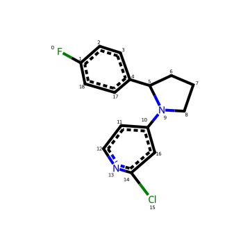 Fc1ccc(C2CCCN2c2ccnc(Cl)c2)cc1